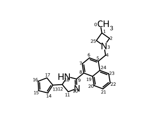 CC1CN(Cc2ccc(C3=NCC(C4=CC=CC4)N3)c3ccccc23)C1